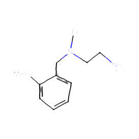 CCN(CCN)Cc1ccccc1OC